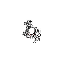 CC[C@H]1CC(=O)[C@H](C)[C@@H](O[C@H]2C[C@@](C)(OC)[C@@H](O)[C@H](C)O2)[C@H](C)[C@@H](O[C@@H]2O[C@H](C)CC(N(C)C)[C@H]2OC(=O)CCC(=O)Nc2nc3ccccc3c3ncn(CC(C)C)c23)[C@](C)(O)C[C@@H](C)CN(C)[C@H](C)[C@@H](O)[C@]1(C)O